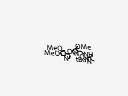 COc1cc2nccc(Oc3cnc(CC(=O)Nc4c(C)c(C)nn4C(C)(C)C)c(OC)c3)c2cc1OC